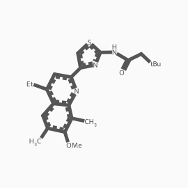 CCc1cc(-c2csc(NC(=O)CC(C)(C)C)n2)nc2c(C)c(OC)c(C)cc12